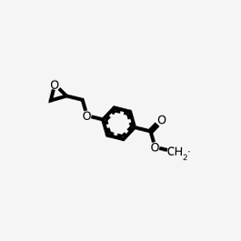 [CH2]OC(=O)c1ccc(OCC2CO2)cc1